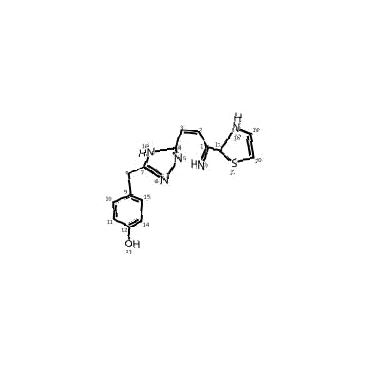 N=C(/C=C\c1nnc(Cc2ccc(O)cc2)[nH]1)C1NC=CS1